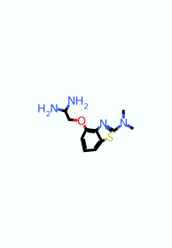 CN(C)c1nc2c(OCC(N)N)cccc2s1